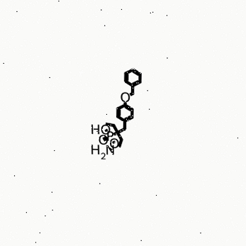 CCC(CC)(Cc1ccc(OCc2ccccc2)cc1)P(=O)(O)ON